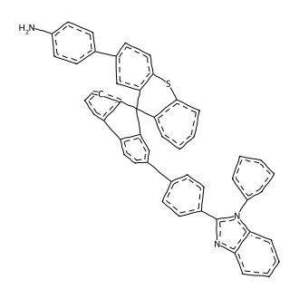 Nc1ccc(-c2ccc3c(c2)C2(c4ccccc4S3)c3ccccc3-c3ccc(-c4ccc(-c5nc6ccccc6n5-c5ccccc5)cc4)cc32)cc1